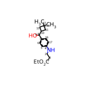 CCOC(=O)CCNc1ccc(C(O)C2CC(C)(C)C2)cc1